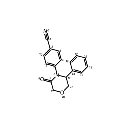 N#Cc1ccc(N2C(=O)COCC2c2ccccc2)cc1